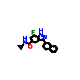 O=C(NC1CC1)c1cc(F)c2[nH]nc(-c3ccc4ccccc4c3)c2c1